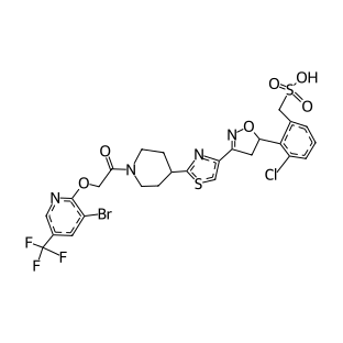 O=C(COc1ncc(C(F)(F)F)cc1Br)N1CCC(c2nc(C3=NOC(c4c(Cl)cccc4CS(=O)(=O)O)C3)cs2)CC1